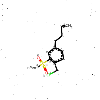 C=CCCc1ccc(CCl)c(S(=O)(=O)CCCCC)c1